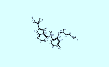 COC(=O)c1sc2ncnc(Nc3ccc(F)cc3OC(C)CCN)c2c1C